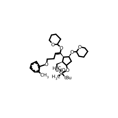 Cc1ccccc1OCC/C=C(/OC1CCCCO1)[C@H]1[C@@H](OC2CCCCO2)CC(O[Si](C)(C)C(C)(C)C)[C@H]1CC=O